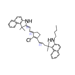 CCCCNc1ccc2ccccc2c1C(C)(C)C/C=C/C1=C(Cl)C(=C/C=C2/Nc3ccc4ccccc4c3C2(C)C)/CC1